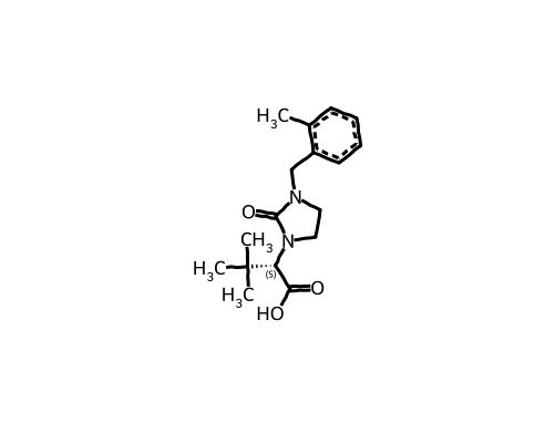 Cc1ccccc1CN1CCN([C@H](C(=O)O)C(C)(C)C)C1=O